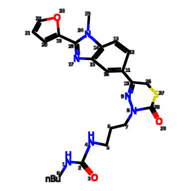 CCCCNC(=O)NCCCN1N=C(c2ccc3c(c2)nc(-c2ccco2)n3C)CSC1=O